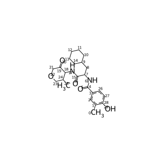 Cc1cc(C(=O)NC(CC2CCCCC2)C(=O)NC2C(=O)COCC2C)ccc1O